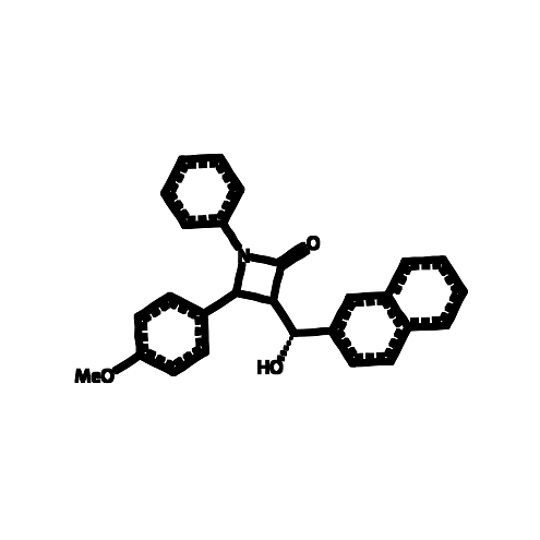 COc1ccc(C2C([C@@H](O)c3ccc4ccccc4c3)C(=O)N2c2ccccc2)cc1